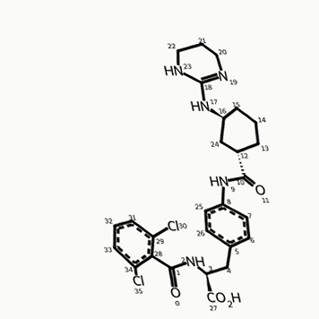 O=C(N[C@@H](Cc1ccc(NC(=O)[C@H]2CCC[C@H](NC3=NCCCN3)C2)cc1)C(=O)O)c1c(Cl)cccc1Cl